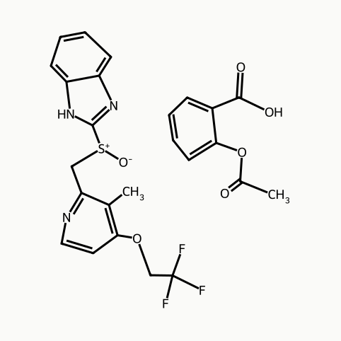 CC(=O)Oc1ccccc1C(=O)O.Cc1c(OCC(F)(F)F)ccnc1C[S+]([O-])c1nc2ccccc2[nH]1